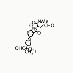 CNC(=O)C(CCC=O)N1C(=O)c2ccc(N3CCC(C(C)(C)C=O)CC3)cc2C1=O